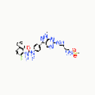 Cn1nc(-c2ccc(NC(=O)Nc3cc(C(F)(F)F)ccc3F)cc2)c2cnc(NCCCCNS(C)(=O)=O)nc21